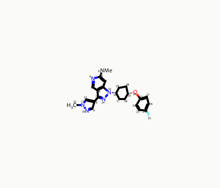 CNc1cc2c(cn1)c(-c1cnn(C)c1)nn2[C@H]1CC[C@@H](Oc2ccc(F)cc2)CC1